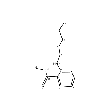 CCCCCNc1ccccc1C(=O)OC